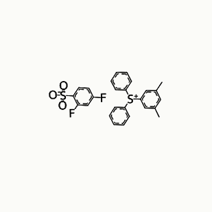 Cc1cc(C)cc([S+](c2ccccc2)c2ccccc2)c1.O=S(=O)([O-])c1ccc(F)cc1F